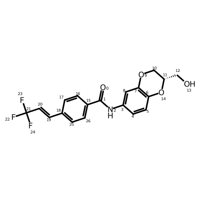 O=C(Nc1ccc2c(c1)OC[C@H](CO)O2)c1ccc(/C=C/C(F)(F)F)cc1